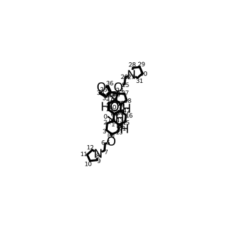 C[C@]12CC[C@H](OCCN3CCCC3)C[C@@H]1CC[C@@H]1[C@@H]2CC[C@]2(C)[C@@](OCCN3CCCC3)(c3ccoc3)CC[C@]12O